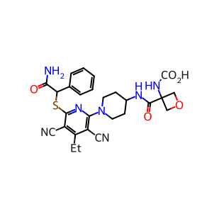 CCc1c(C#N)c(SC(C(N)=O)c2ccccc2)nc(N2CCC(NC(=O)C3(NC(=O)O)COC3)CC2)c1C#N